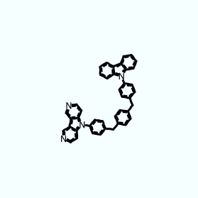 c1ccc2c(c1)c1ccccc1n2-c1ccc(Cc2ccc(Cc3ccc(-n4c5ccncc5c5cnccc54)cc3)cc2)cc1